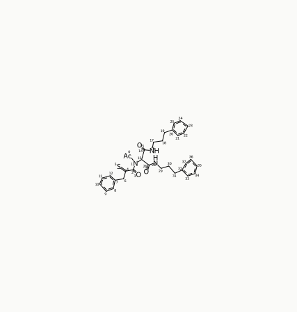 CC(=O)N(C(=O)C(=S)Cc1ccccc1)C(C(=O)NCCCc1ccccc1)C(=O)NCCCc1ccccc1